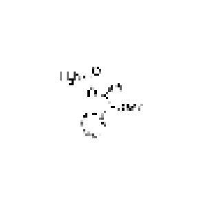 CO[C@@H](c1cccc(I)c1)[C@@H](OC(N)=O)C(C)C